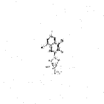 CC(=O)c1cc(C)cc2c(=O)n(C)c(N3C[C@@H]4[C@H](C3)[C@@H]4C(=O)O)nc12